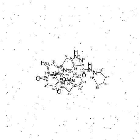 COC(=O)N1CCc2[nH]nc(C(=O)NN3CCCCC3)c2C1c1cccc2c1C(Cc1ccc(F)cc1)(c1ccc(Cl)cc1Cl)C=C2